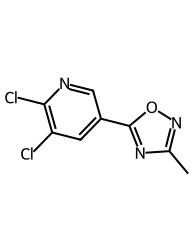 Cc1noc(-c2cnc(Cl)c(Cl)c2)n1